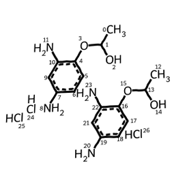 CC(O)Oc1ccc(N)cc1N.CC(O)Oc1ccc(N)cc1N.Cl.Cl.Cl